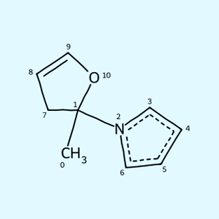 CC1(n2cccc2)CC=CO1